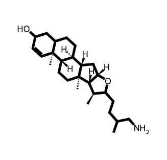 CC(CN)CCC1O[C@H]2C[C@H]3[C@@H]4CCC5CC(O)C=C[C@]5(C)[C@H]4CC[C@]3(C)[C@H]2[C@@H]1C